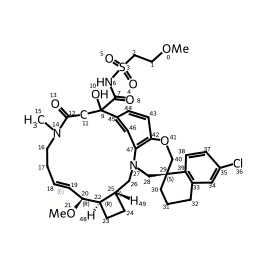 COCCS(=O)(=O)NC(=O)C1(O)CC(=O)N(C)CC/C=C/[C@H](OC)[C@@H]2CC[C@H]2CN2C[C@@]3(CCCc4cc(Cl)ccc43)COc3ccc1cc32